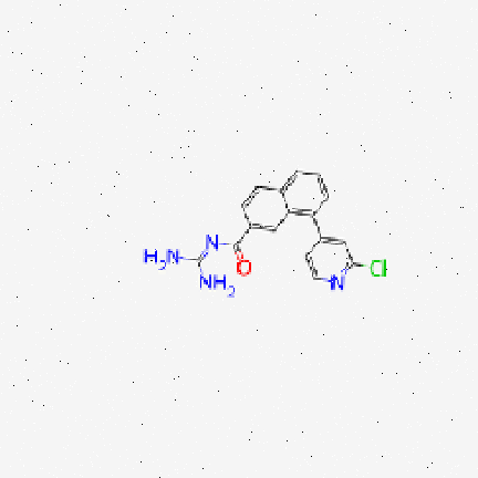 NC(N)=NC(=O)c1ccc2cccc(-c3ccnc(Cl)c3)c2c1